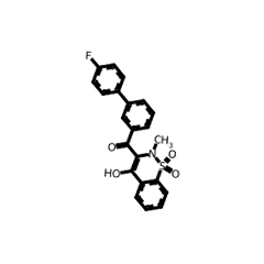 CN1C(C(=O)c2cccc(-c3ccc(F)cc3)c2)=C(O)c2ccccc2S1(=O)=O